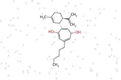 C=C(C)[C@@H]1CCC(C)=C[C@H]1C1=CC(O)C=C(CCCCC)C=C1O